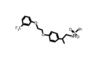 CC(CNS(=O)(=O)C(C)C)c1ccc(OCCOc2cccc(C(F)(F)F)c2)cc1